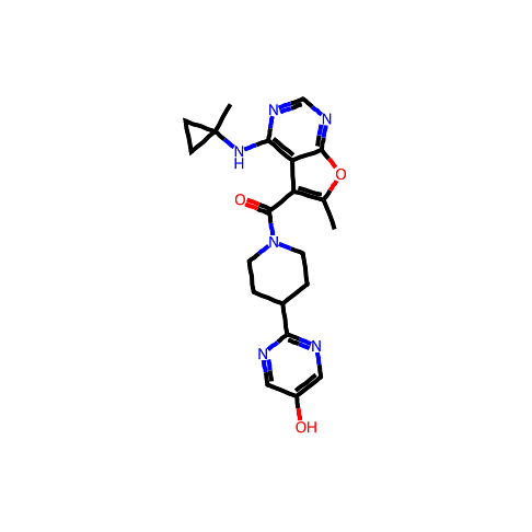 Cc1oc2ncnc(NC3(C)CC3)c2c1C(=O)N1CCC(c2ncc(O)cn2)CC1